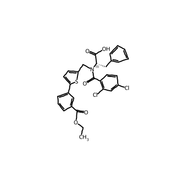 CCOC(=O)c1cccc(-c2ccc(CN(C(=O)c3ccc(Cl)cc3Cl)[C@@H](Cc3ccccc3)C(=O)O)s2)c1